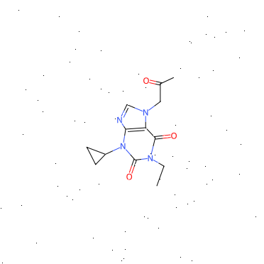 CCn1c(=O)c2c(ncn2CC(C)=O)n(C2CC2)c1=O